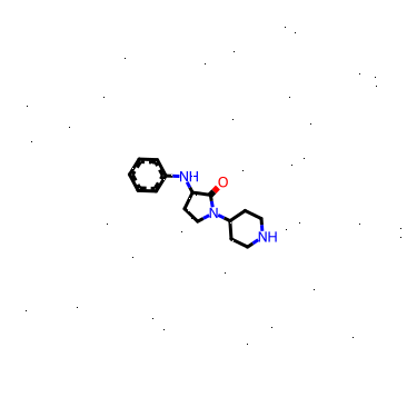 O=C1C(Nc2ccccc2)CCN1C1CCNCC1